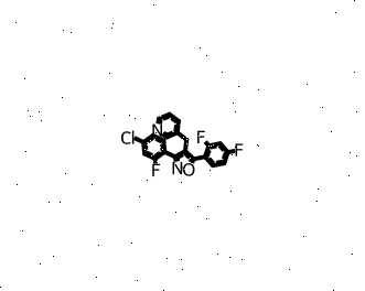 Fc1ccc(-c2onc(-c3ccc(Cl)cc3F)c2Cc2cccnc2)c(F)c1